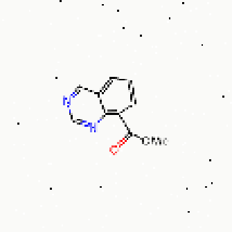 COC(=O)c1cccc2cncnc12